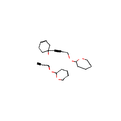 C#CCOC1CCCCO1.OC1(C#CCOC2CCCCO2)CCCCC1